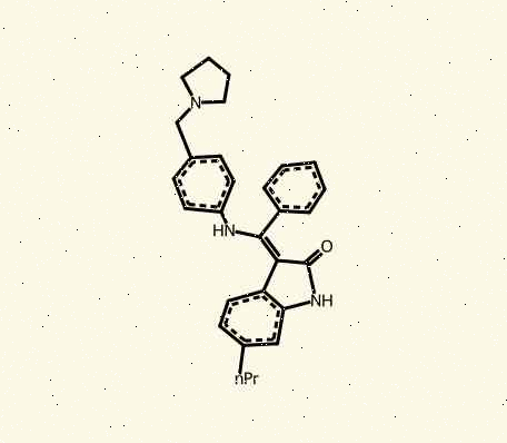 CCCc1ccc2c(c1)NC(=O)C2=C(Nc1ccc(CN2CCCC2)cc1)c1ccccc1